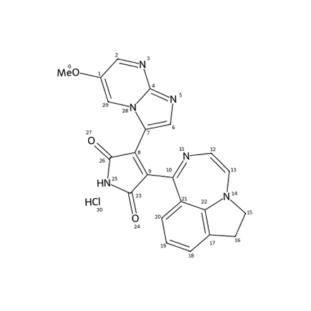 COc1cnc2ncc(C3=C(C4=NC=CN5CCc6cccc4c65)C(=O)NC3=O)n2c1.Cl